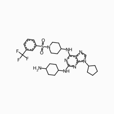 NC1CCC(Nc2nc(NC3CCN(S(=O)(=O)c4cccc(C(F)(F)F)c4)CC3)c3ncn(C4CCCC4)c3n2)CC1